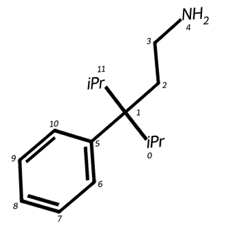 CC(C)C(CCN)(c1ccccc1)C(C)C